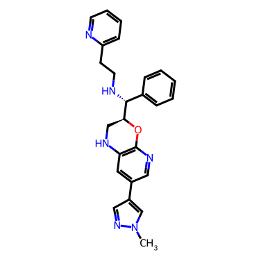 Cn1cc(-c2cnc3c(c2)NC[C@@H]([C@H](NCCc2ccccn2)c2ccccc2)O3)cn1